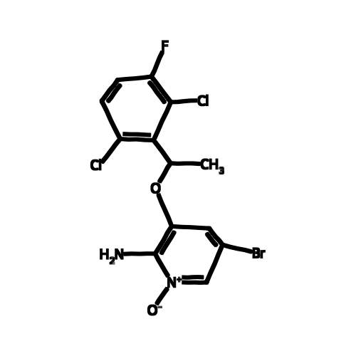 CC(Oc1cc(Br)c[n+]([O-])c1N)c1c(Cl)ccc(F)c1Cl